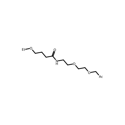 CCOCCCC(=O)NCCOCCOCC(C)=O